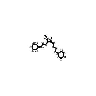 O=C1OC(=CCCCC2CCCCC2)C1CCCC1CCCCC1